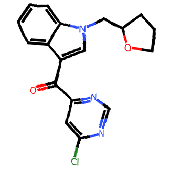 O=C(c1cc(Cl)ncn1)c1cn(CC2CCCO2)c2ccccc12